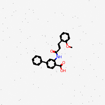 COc1ccccc1/C=C/C(=O)Nc1cc(-c2ccccc2)ccc1C(=O)O